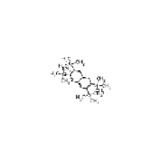 C[Si](C)(C)c1cc2cc([Si](C)(C)C)c([Si](C)(C)C)cc2cc1[Si](C)(C)C